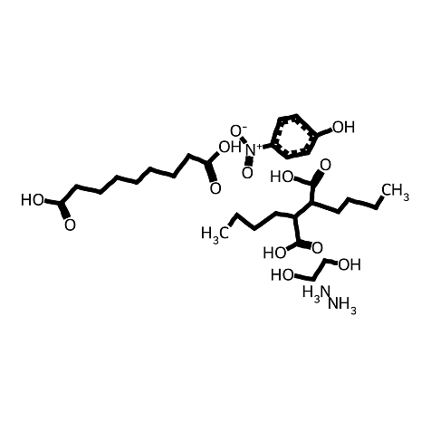 CCCCC(C(=O)O)C(CCCC)C(=O)O.N.N.O=C(O)CCCCCCCC(=O)O.O=[N+]([O-])c1ccc(O)cc1.OCCO